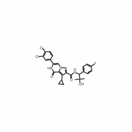 CC(C)(O)C(NC(=O)c1nn2cc(-c3ccc(Cl)c(Cl)c3)[nH]c(=O)c2c1C1CC1)c1ccc(F)cc1